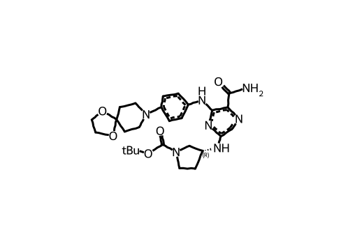 CC(C)(C)OC(=O)N1CC[C@@H](Nc2cnc(C(N)=O)c(Nc3ccc(N4CCC5(CC4)OCCO5)cc3)n2)C1